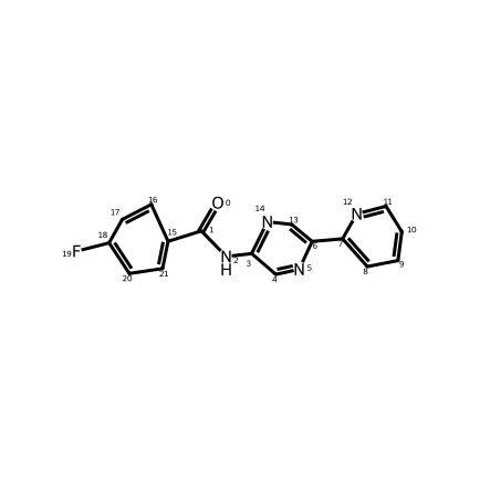 O=C(Nc1cnc(-c2ccccn2)cn1)c1ccc(F)cc1